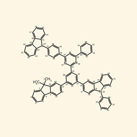 CC1(C)c2ccccc2-c2ccc(-c3cc(-c4ccc5c(c4)c4ccccc4n5-c4ccccc4)cc(-c4nc(-c5ccccc5)cc(-c5ccc(-n6c7ccccc7c7ccccc76)cc5)n4)c3)cc21